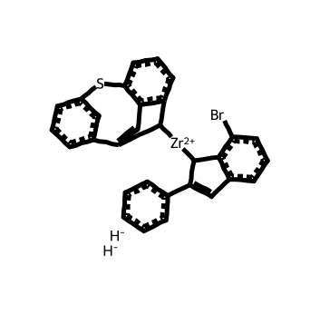 Brc1cccc2c1[CH]([Zr+2][CH]1C3=Cc4c(cccc41)Sc1cccc3c1)C(c1ccccc1)=C2.[H-].[H-]